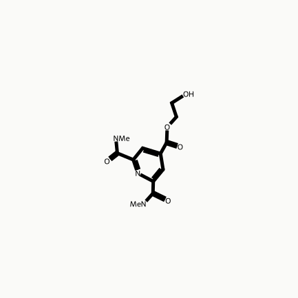 CNC(=O)c1cc(C(=O)OCCO)cc(C(=O)NC)n1